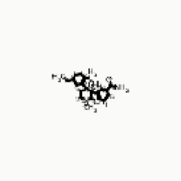 CCc1ccc(C)c([C@@]2(C)CCN(C)C(C)[C@@]2(C)c2cccc(C(N)=O)c2)c1